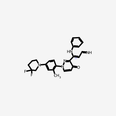 Cc1cc(N2CCCC(F)(F)C2)ccc1-n1ccc(=O)c(/C(=C/C=N)Nc2ccccc2)n1